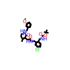 COc1cccc(CNN2CCC(C)=C(CC(=O)NCc3cc(Cl)ccc3CNC(=O)OC(C)(C)C)C2=O)c1